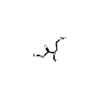 CCCN(CCC=O)C(=O)OC(C)(C)C